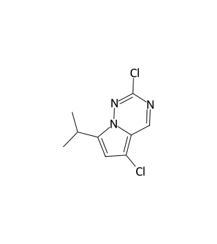 CC(C)c1cc(Cl)c2cnc(Cl)nn12